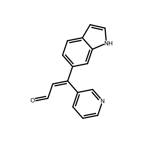 O=C/C=C(\c1cccnc1)c1ccc2cc[nH]c2c1